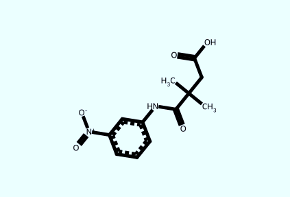 CC(C)(CC(=O)O)C(=O)Nc1cccc([N+](=O)[O-])c1